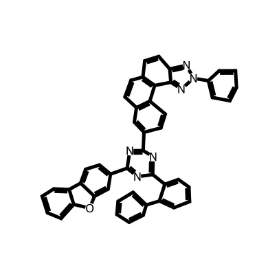 c1ccc(-c2ccccc2-c2nc(-c3ccc4c(ccc5ccc6nn(-c7ccccc7)nc6c54)c3)nc(-c3ccc4c(c3)oc3ccccc34)n2)cc1